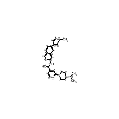 CN(C)C1CCN(c2cc(C(O)Nc3cc4cc(-c5cnn(C)c5)ccc4cn3)ccn2)CC1